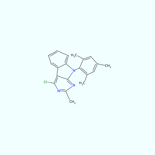 Cc1cc(C)c(-n2c3ccccc3c3c(Cl)nc(C)nc32)c(C)c1